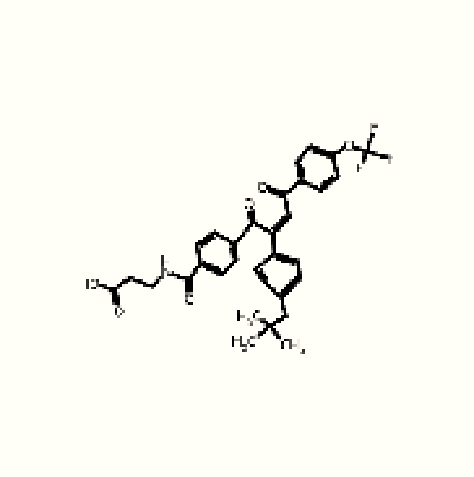 CC(C)(C)Cc1ccc(C(=CC(=O)c2ccc(OC(F)(F)F)cc2)C(=O)c2ccc(C(=O)NCCC(=O)O)cc2)cc1